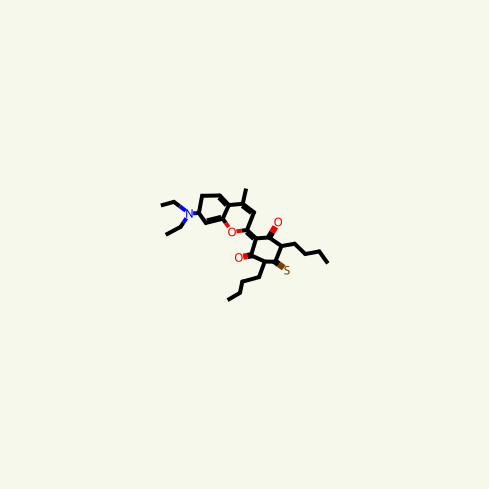 CCCCC1C(=O)C(=C2C=C(C)C3=CCC(N(CC)CC)C=C3O2)C(=O)C(CCCC)C1=S